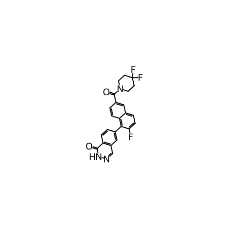 O=C(c1ccc2c(-c3ccc4c(=O)[nH]ncc4c3)c(F)ccc2c1)N1CCC(F)(F)CC1